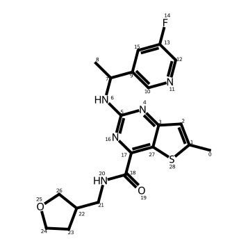 Cc1cc2nc(NC(C)c3cncc(F)c3)nc(C(=O)NCC3CCOC3)c2s1